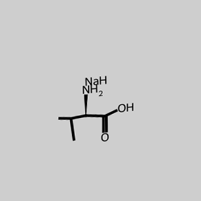 CC(C)[C@@H](N)C(=O)O.[NaH]